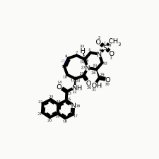 CS(=O)(=O)N1C[C@@H]2C/C=C\C[C@H](NC(=O)c3nccc4ccccc34)C(=O)N2[C@H](C(=O)O)C1